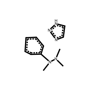 CN(C)N(C)c1ccccc1.c1c[nH]nn1